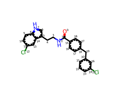 O=C(NCCc1c[nH]c2ccc(Cl)cc12)c1ccc(Cc2cccc(Cl)c2)cc1